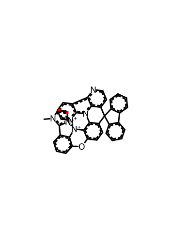 Cn1c2[n+](c3ccccc31)[N+]13c4c(cccc4-2)Oc2ccc4c(c21)-n1c2c(ccnc2c2ccc[n+]3c21)C41c2ccccc2-c2ccccc21